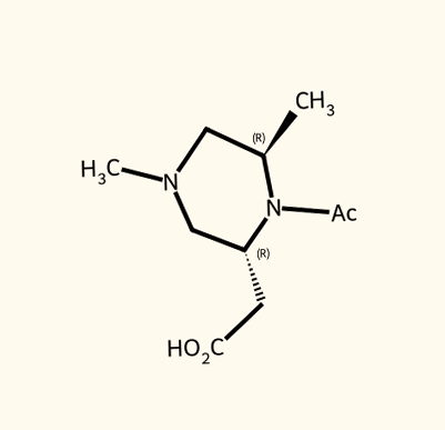 CC(=O)N1[C@H](CC(=O)O)CN(C)C[C@H]1C